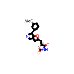 COc1cccc(-c2cncc3cc(/C=C4\SC(=O)NC4=O)oc23)c1